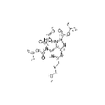 COCCCc1nc(N(C(=O)OC(C)C)[PH](=O)OC=O)c2[nH]c(C(=O)OC(C)C)nc2n1